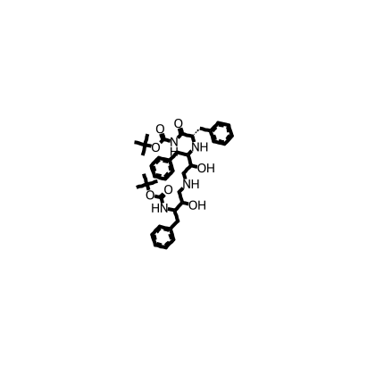 CC(C)(C)OC(=O)NC(=O)[C@H](Cc1ccccc1)NC(Cc1ccccc1)C(O)CNCC(O)C(Cc1ccccc1)NC(=O)OC(C)(C)C